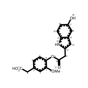 COc1cc(CC(=O)O)ccc1OC(=O)Cc1cc2cc(O)ccc2[nH]1